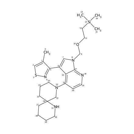 Cc1csnc1-c1cn(COCC[Si](C)(C)C)c2nccc(N3CCCC4(CCCCN4)C3)c12